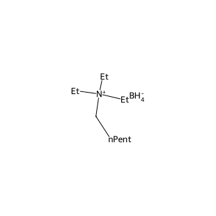 CCCCCC[N+](CC)(CC)CC.[BH4-]